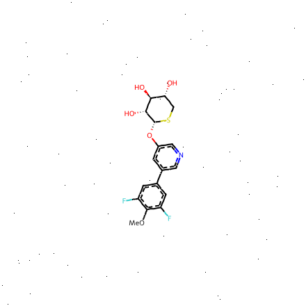 COc1c(F)cc(-c2cncc(O[C@H]3SC[C@@H](O)[C@H](O)[C@H]3O)c2)cc1F